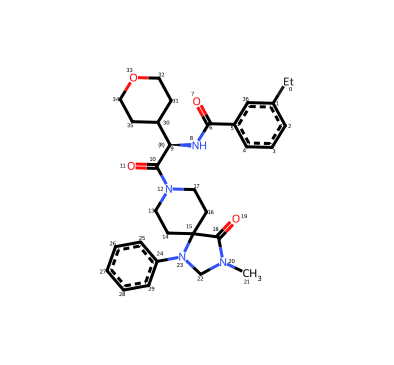 CCc1cccc(C(=O)N[C@@H](C(=O)N2CCC3(CC2)C(=O)N(C)CN3c2ccccc2)C2CCOCC2)c1